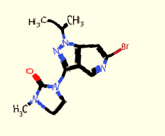 CC(C)n1nc(N2CCN(C)C2=O)c2cnc(Br)cc21